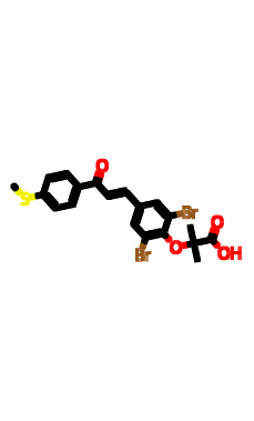 CSc1ccc(C(=O)C=Cc2cc(Br)c(OC(C)(C)C(=O)O)c(Br)c2)cc1